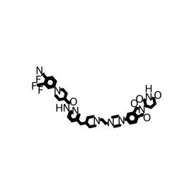 N#Cc1ccc(N2CCC(C(=O)Nc3ccc(CC4CCN(CCN5CCN(c6ccc7c(c6)C(=O)N(C6CCC(=O)NC6=O)C7=O)CC5)CC4)cn3)CC2)cc1C(F)(F)F